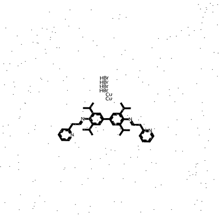 Br.Br.Br.Br.CC(C)c1cc(-c2cc(C(C)C)c(N=CCc3ccccn3)c(C(C)C)c2)cc(C(C)C)c1N=CCc1ccccn1.[Cu].[Cu]